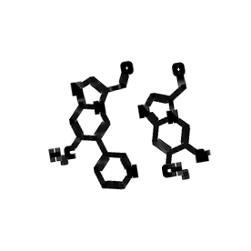 Cc1cc2ncc(C=O)n2cc1-c1cccnc1.Cc1cc2ncc(C=O)n2cc1Br